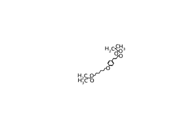 C=C(C)C(=O)OCCCCCCOc1ccc(C=CC(=O)OC(=O)C(=C)C)cc1